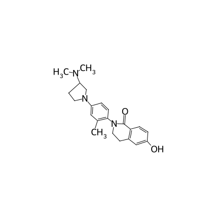 Cc1cc(N2CCC(N(C)C)C2)ccc1N1CCc2cc(O)ccc2C1=O